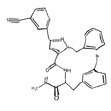 CNC(=O)C(Cc1cccc(Br)c1)NC(=O)c1cc(-c2cccc(C#N)c2)nn1Cc1ccccc1